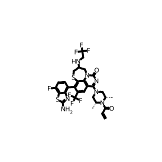 C=CC(=O)N1[C@H](C)CN(c2nc(=O)n3c4c(c(-c5ccc(F)c6sc(N)nc56)c(C(F)(F)F)cc24)SCC(NCC(F)(F)F)C3)C[C@@H]1C